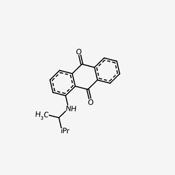 CC(C)C(C)Nc1cccc2c1C(=O)c1ccccc1C2=O